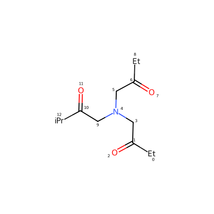 CCC(=O)CN(CC(=O)CC)CC(=O)C(C)C